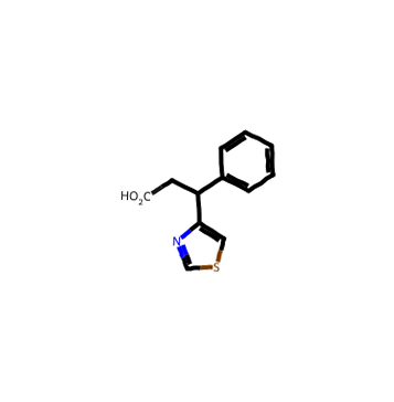 O=C(O)CC(c1ccccc1)c1cscn1